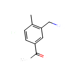 COC(=O)c1ccc(C)c(CN)c1.Cl